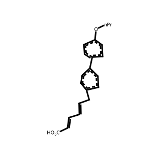 CCCOc1ccc(-c2ccc(C/C=C/C=C/C(=O)O)cc2)cc1